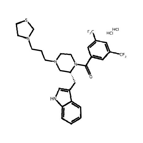 Cl.Cl.O=C(c1cc(C(F)(F)F)cc(C(F)(F)F)c1)N1CCN(CCCN2CCSC2)C[C@H]1Cc1c[nH]c2ccccc12